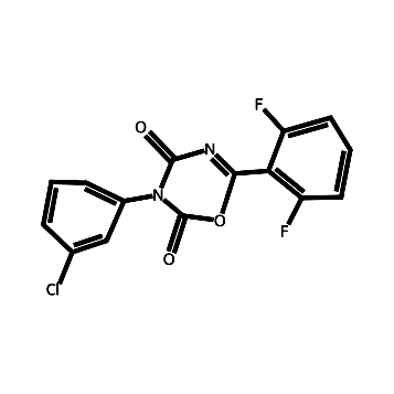 O=c1nc(-c2c(F)cccc2F)oc(=O)n1-c1cccc(Cl)c1